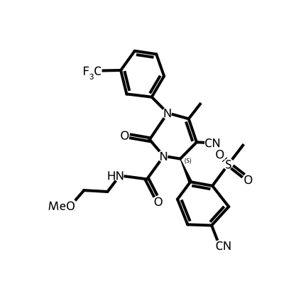 COCCNC(=O)N1C(=O)N(c2cccc(C(F)(F)F)c2)C(C)=C(C#N)[C@H]1c1ccc(C#N)cc1S(C)(=O)=O